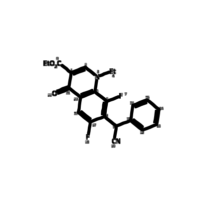 CCOC(=O)c1cn(CC)c2c(F)c(C(C#N)c3ccccc3)c(F)cc2c1=O